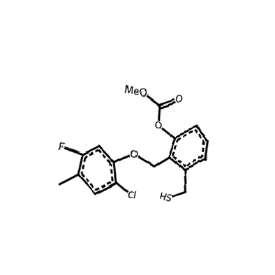 COC(=O)Oc1cccc(CS)c1COc1cc(F)c(C)cc1Cl